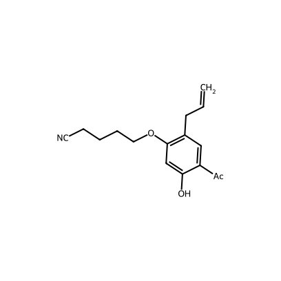 C=CCc1cc(C(C)=O)c(O)cc1OCCCCC#N